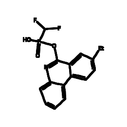 CCc1ccc2c(c1)c(OP(=O)(O)C(F)F)nc1ccccc12